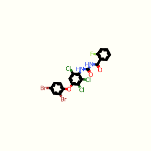 O=C(NC(=O)c1ccccc1F)Nc1c(Cl)cc(Oc2ccc(Br)cc2Br)c(Cl)c1Cl